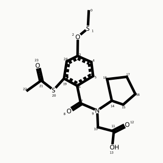 CSOc1ccc(C(=O)N(CC(=O)O)C2CCCC2)c(SC(C)=O)c1